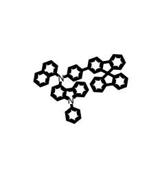 c1ccc(-n2c3ccccc3c3c(N(c4ccc(-c5ccc6c(c5)C5(c7ccccc7-c7ccccc75)c5ccccc5-6)cc4)c4cccc5ccccc45)cccc32)cc1